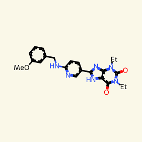 CCn1c(=O)c2[nH]c(-c3ccc(NCc4cccc(OC)c4)nc3)nc2n(CC)c1=O